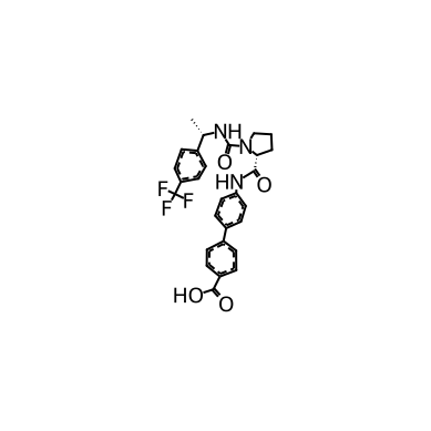 C[C@H](NC(=O)N1CCC[C@@H]1C(=O)Nc1ccc(-c2ccc(C(=O)O)cc2)cc1)c1ccc(C(F)(F)F)cc1